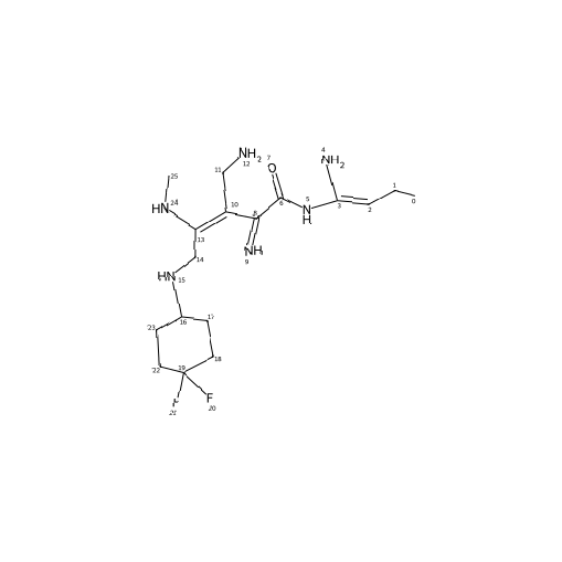 CC/C=C(\N)NC(=O)C(=N)/C(CN)=C(\CNC1CCC(F)(F)CC1)NC